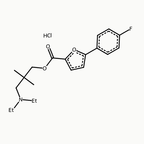 CCN(CC)CC(C)(C)COC(=O)c1ccc(-c2ccc(F)cc2)o1.Cl